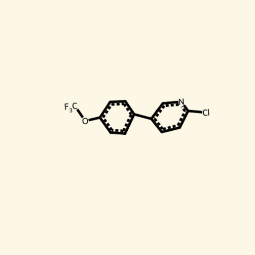 FC(F)(F)Oc1ccc(-c2ccc(Cl)nc2)cc1